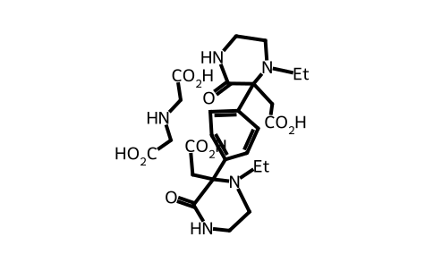 CCN1CCNC(=O)C1(CC(=O)O)c1ccc(C2(CC(=O)O)C(=O)NCCN2CC)cc1.O=C(O)CNCC(=O)O